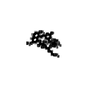 C=CCOC(=O)CCC(C)(C)C(=O)OC1CC(C)C=C2C=CC(C)C(CCC3CC(O[Si](C)(C)C(C)(C)C)CC(=O)O3)C21